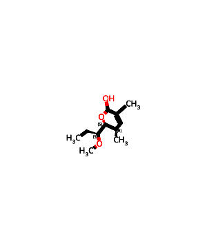 CC[C@H](OC)[C@H]1OC(O)C(C)=C[C@H]1C